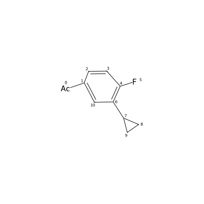 CC(=O)c1ccc(F)c(C2CC2)c1